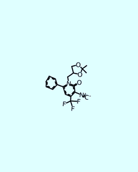 [C-]#[N+]c1c(C(F)(F)F)cc(-c2ccccc2)n(CC2COC(C)(C)O2)c1=O